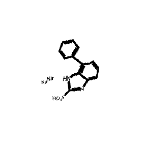 O=S(=O)(O)c1nc2cccc(-c3ccccc3)c2[nH]1.[Na].[Na]